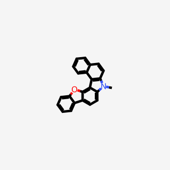 Cn1c2ccc3ccccc3c2c2c3oc4ccccc4c3ccc21